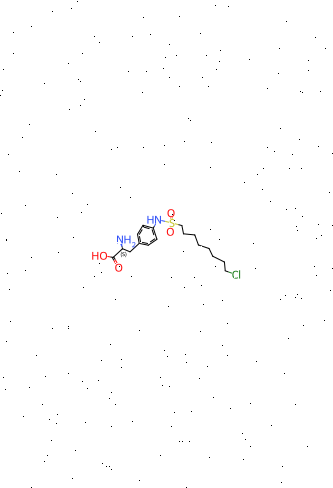 N[C@@H](Cc1ccc(NS(=O)(=O)CCCCCCCCCl)cc1)C(=O)O